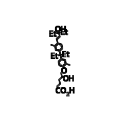 CCC(O)(/C=C/c1ccc(C(CC)(CC)c2ccc(OC[C@@H](O)CCCC(=O)O)c(C)c2)cc1C)CC